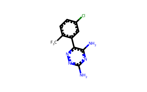 Nc1nnc(-c2cc(Cl)ccc2C(F)(F)F)c(N)n1